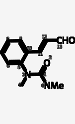 CNC(=O)N(C)c1ccccc1/C=C/[C]=O